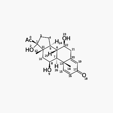 CC(=O)[C@@]1(O)CC[C@H]2[C@H]3[C@H]([C@@H](O)C[C@@]21C)[C@@]1(C)C=CC(=O)C=C1C[C@@H]3O